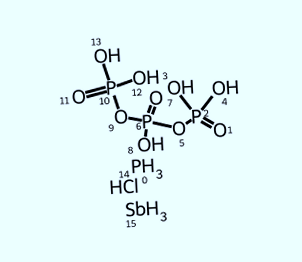 Cl.O=P(O)(O)OP(=O)(O)OP(=O)(O)O.P.[SbH3]